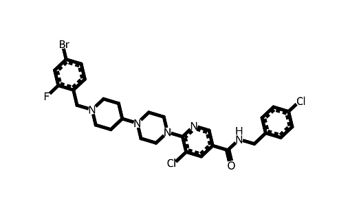 O=C(NCc1ccc(Cl)cc1)c1cnc(N2CCN(C3CCN(Cc4ccc(Br)cc4F)CC3)CC2)c(Cl)c1